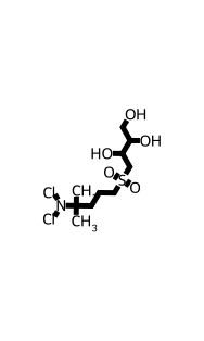 CC(C)(CCCS(=O)(=O)CC(O)C(O)CO)N(Cl)Cl